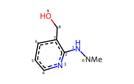 CNNc1ncccc1CO